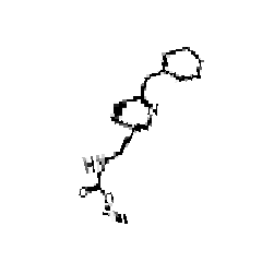 CC(C)(C)OC(=O)NCc1ccc(CC2CCCCC2)nc1